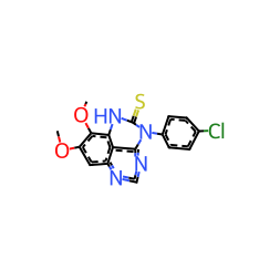 COc1cc2ncnc3c2c(c1OC)NC(=S)N3c1ccc(Cl)cc1